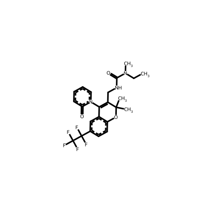 CCN(C)C(=O)NCC1=C(n2ccccc2=O)c2cc(C(F)(F)C(F)(F)F)ccc2OC1(C)C